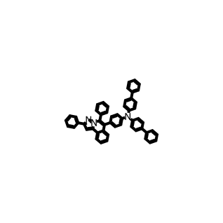 c1ccc(-c2ccc(N(c3ccc(-c4ccccc4)cc3)c3ccc(-c4c(-c5ccccc5)n5nc(-c6ccccc6)cc5c5ccccc45)cc3)cc2)cc1